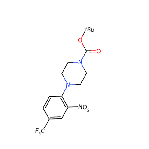 CC(C)(C)OC(=O)N1CCN(c2ccc(C(F)(F)F)cc2[N+](=O)[O-])CC1